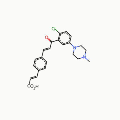 CN1CCN(c2ccc(Cl)c(C(=O)C=Cc3ccc(C=CC(=O)O)cc3)c2)CC1